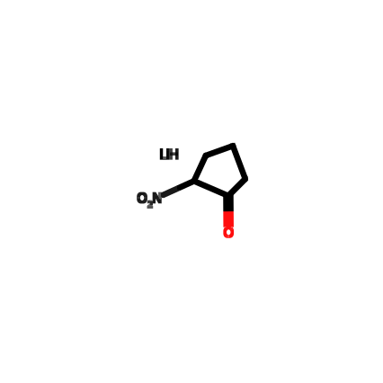 O=C1CCCC1[N+](=O)[O-].[LiH]